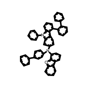 c1ccc(-c2ccc(N(c3ccc4c5c(-c6ccccc6-c6ccccc6)cccc5n(-c5ccccc5)c4c3)c3cccc4c3oc3ccccc34)cc2)cc1